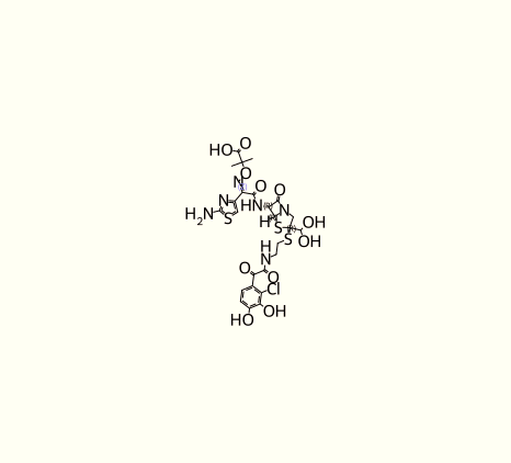 CC(C)(O/N=C(\C(=O)N[C@@H]1C(=O)N2C[C@](SCCNC(=O)C(=O)c3ccc(O)c(O)c3Cl)(C(O)O)S[C@H]12)c1csc(N)n1)C(=O)O